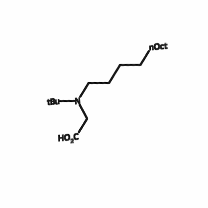 CCCCCCCCCCCCN(CC(=O)O)C(C)(C)C